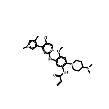 C=CC(=O)Nc1cc(Nc2ncc(Cl)c(-c3cn(C)cc3C)n2)c(OC)cc1N1CCC(N(C)C)CC1